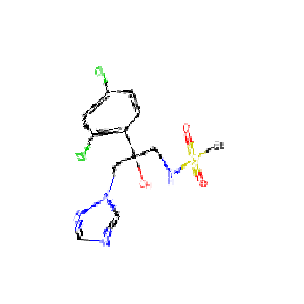 CCS(=O)(=O)NCC(O)(Cn1cncn1)c1ccc(Cl)cc1Cl